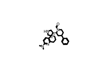 CN(C)c1ccc2c(n1)CCC[C@]21CNC[C@H]1C1CC(c2ccccc2)CCN1C=O